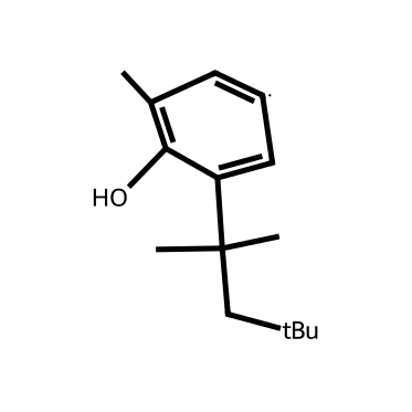 Cc1c[c]cc(C(C)(C)CC(C)(C)C)c1O